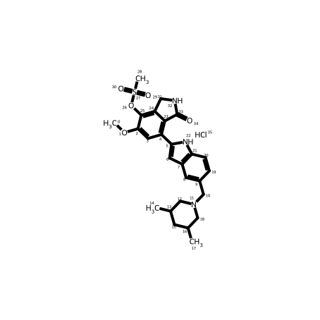 COc1cc(-c2cc3cc(CN4CC(C)CC(C)C4)ccc3[nH]2)c2c(c1OS(C)(=O)=O)CNC2=O.Cl